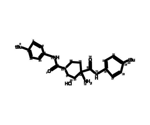 CC(C)(C)c1ccc(NC(=O)N2CCC(N)(C(=O)Nc3ccc(C(C)(C)C)cc3)CC2)cc1.Cl